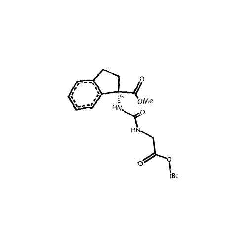 COC(=O)[C@]1(NC(=O)NCC(=O)OC(C)(C)C)CCc2ccccc21